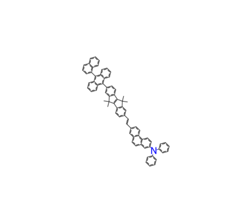 CC1(C)C2=C(c3ccc(/C=C/c4ccc5c(ccc6cc(N(c7ccccc7)c7ccccc7)ccc65)c4)cc31)C(C)(C)c1cc(-c3c4ccccc4c(-c4cccc5ccccc45)c4ccccc34)ccc12